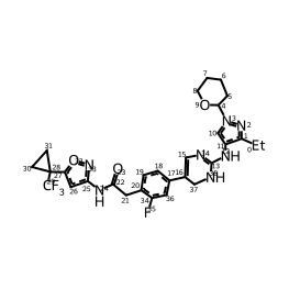 CCc1nn(C2CCCCO2)cc1NC1=NC=C(c2ccc(CC(=O)Nc3cc(C4(C(F)(F)F)CC4)on3)c(F)c2)CN1